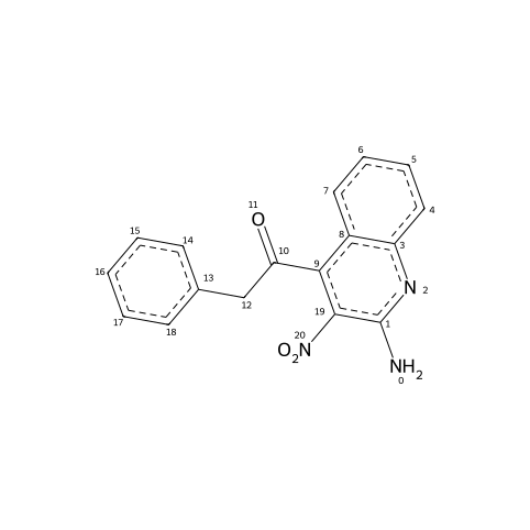 Nc1nc2ccccc2c(C(=O)Cc2ccccc2)c1[N+](=O)[O-]